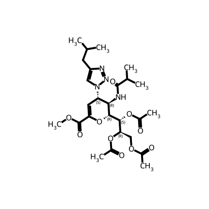 COC(=O)C1=C[C@H](n2cc(CC(C)C)nn2)[C@@H](NC(=O)C(C)C)[C@H]([C@H](OC(C)=O)[C@@H](COC(C)=O)OC(C)=O)O1